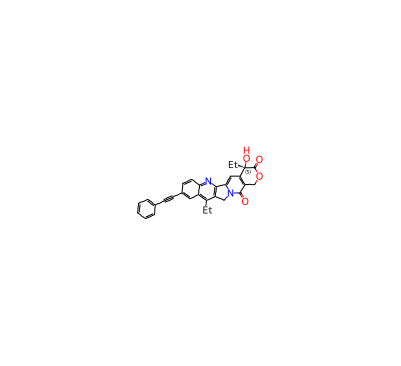 CCc1c2c(nc3ccc(C#Cc4ccccc4)cc13)-c1cc3c(c(=O)n1C2)COC(=O)[C@]3(O)CC